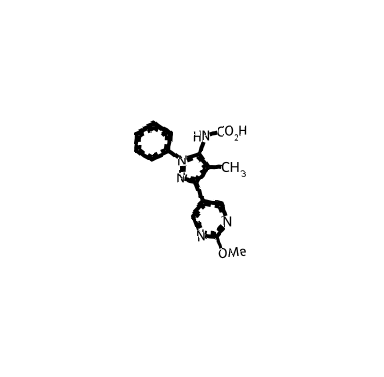 COc1ncc(-c2nn(-c3ccccc3)c(NC(=O)O)c2C)cn1